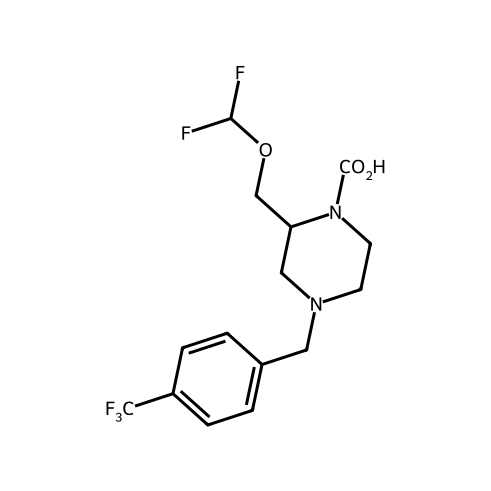 O=C(O)N1CCN(Cc2ccc(C(F)(F)F)cc2)CC1COC(F)F